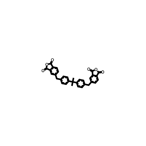 CC(C)(c1ccc(Cc2ccc3c(c2)C(=O)OC3=O)cc1)c1ccc(Cc2ccc3c(c2)C(=O)OC3=O)cc1